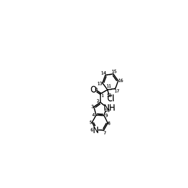 O=C(c1cc2cnccc2[nH]1)C1(Cl)C=CC=CC1